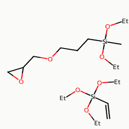 C=C[Si](OCC)(OCC)OCC.CCO[Si](C)(CCCOCC1CO1)OCC